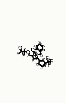 CC(=O)C(C)(C)OCc1cc(-c2cccc(C(F)(F)F)c2)n(Cc2ccccc2Cl)n1